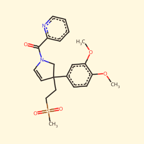 COc1ccc(C2(CCS(C)(=O)=O)C=CN(C(=O)c3ccccn3)C2)cc1OC